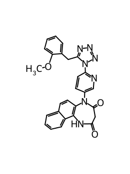 COc1ccccc1Cc1nnnn1-c1ccc(N2C(=O)CC(=O)Nc3c2ccc2ccccc32)cn1